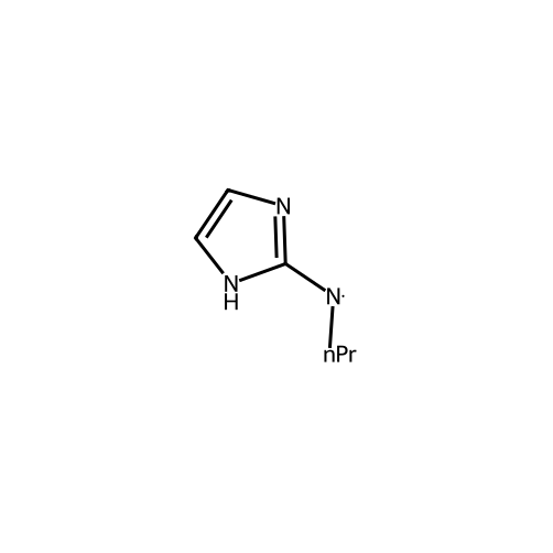 CCC[N]c1ncc[nH]1